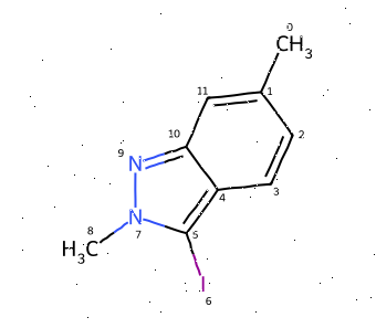 Cc1ccc2c(I)n(C)nc2c1